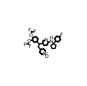 [O-][n+]1ccc(CC(c2ccc(NC3(c4ccc(F)cc4)CCCC3)nc2)c2ccc(OC(F)F)c(OC(F)F)c2)cc1